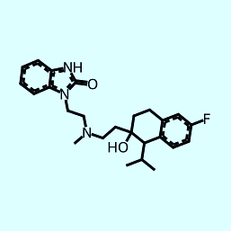 CC(C)C1c2ccc(F)cc2CCC1(O)CCN(C)CCn1c(=O)[nH]c2ccccc21